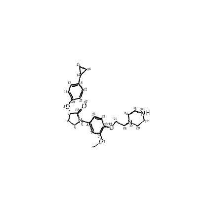 COc1cc(N2CC[C@H](Oc3ccc(C4CC4)cc3)C2=O)ccc1OCCN1CCNCC1